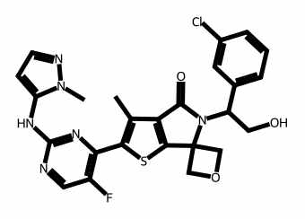 Cc1c(-c2nc(Nc3ccnn3C)ncc2F)sc2c1C(=O)N(C(CO)c1cccc(Cl)c1)C21COC1